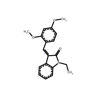 CCN1C(=O)/C(=C\c2ccc(OC)cc2OC)c2ccccc21